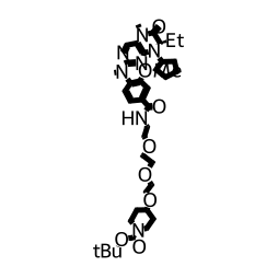 CC[C@@H]1C(=O)N(C)c2cnc(N(C)c3ccc(C(=O)NCCOCCOCCOC4CCN(C(=O)OC(C)(C)C)CC4)cc3OC)nc2N1C1CCCC1